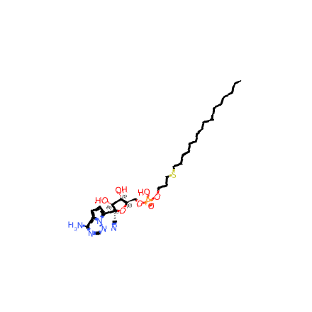 CCCCCCCCCCCCCCCCSCCCOP(=O)(O)OC[C@H]1O[C@@](C#N)(c2ccc3c(N)ncnn23)[C@H](O)[C@@H]1O